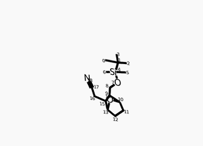 CC(C)(C)[Si](C)(C)OCC1C2CCC(O2)C1CC#N